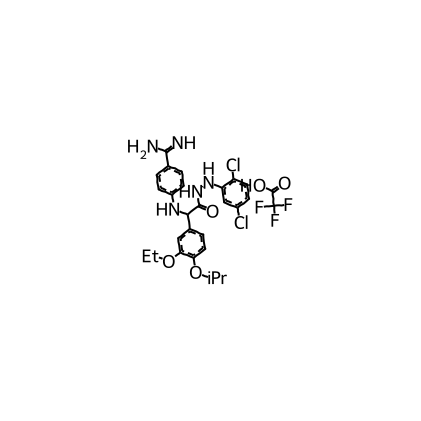 CCOc1cc(C(Nc2ccc(C(=N)N)cc2)C(=O)NNc2cc(Cl)ccc2Cl)ccc1OC(C)C.O=C(O)C(F)(F)F